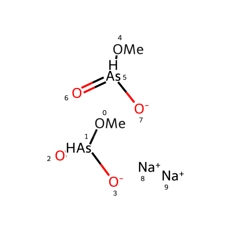 CO[AsH](=O)[O-].CO[AsH](=O)[O-].[Na+].[Na+]